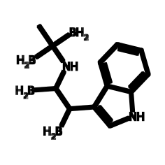 BC(NC(B)(B)C)C(B)c1c[nH]c2ccccc12